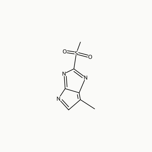 CC1=C2N=C(S(C)(=O)=O)N=C2N=C1